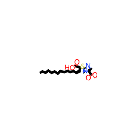 CCCCCCCCCCCC/C=C\C(Sc1ncc(C(=O)OC)n1C)C(=O)O